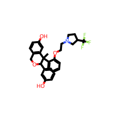 CC1(c2ccccc2OCCN2CCC(C(F)(F)F)C2)c2cc(O)ccc2COC1c1cccc(O)c1